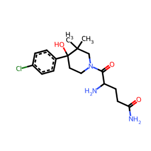 CC1(C)CN(C(=O)C(N)CCC(N)=O)CCC1(O)c1ccc(Cl)cc1